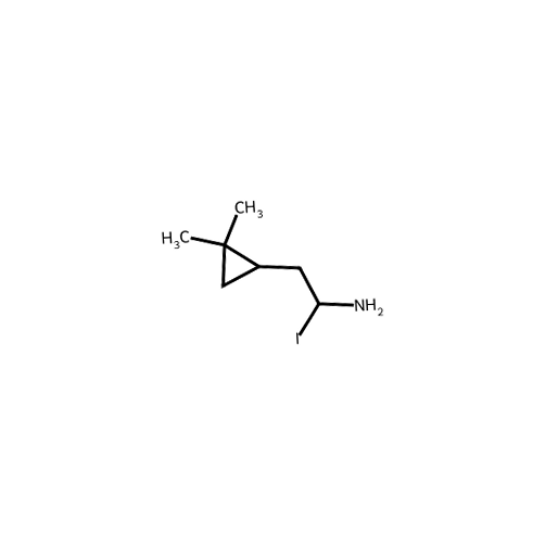 CC1(C)CC1CC(N)I